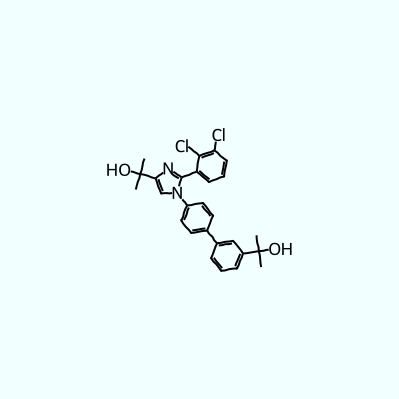 CC(C)(O)c1cccc(-c2ccc(-n3cc(C(C)(C)O)nc3-c3cccc(Cl)c3Cl)cc2)c1